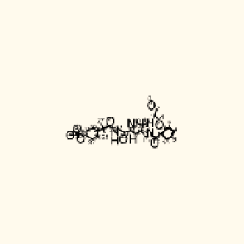 COCCCOc1ccccc1C(=O)NC[C@@H](C[C@H](N)[C@@H](O)CNC(=O)C(C)(C)C1CCC(O[N+](=O)[O-])CC1)C(C)C